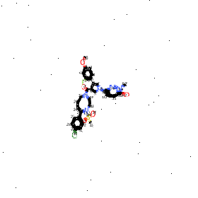 COc1ccc([C@@H]2CN(c3ccc(=O)n(C)n3)C[C@H]2C(=O)N2CCCC(c3ccc(Cl)cc3)N(S(C)(=O)=O)CC2)c(F)c1